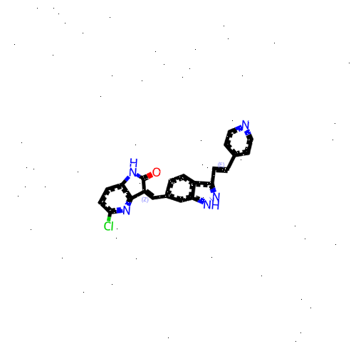 O=C1Nc2ccc(Cl)nc2/C1=C/c1ccc2c(/C=C/c3ccncc3)n[nH]c2c1